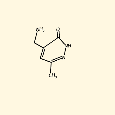 Cc1cc(CN)c(=O)[nH]n1